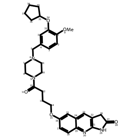 COc1ccc(CN2CCN(C(=O)CCCOc3ccc4nc5c(cc4c3)CC(=O)N5)CC2)cc1OC1CCCC1